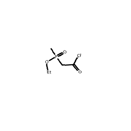 CCOP(C)(=O)CC(=O)Cl